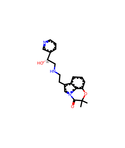 CC1(C)Oc2cccc3c(CCNC[C@H](O)c4cccnc4)cn(c23)C1=O